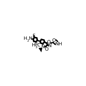 Cc1c(-c2cc(F)c(N)cc2F)ccc2c3oc(C4CNCCO4)nc3c(=O)n(C3CC3)c12